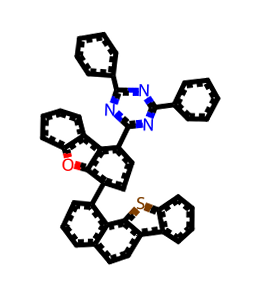 c1ccc(-c2nc(-c3ccccc3)nc(-c3ccc(-c4cccc5ccc6c7ccccc7sc6c45)c4oc5ccccc5c34)n2)cc1